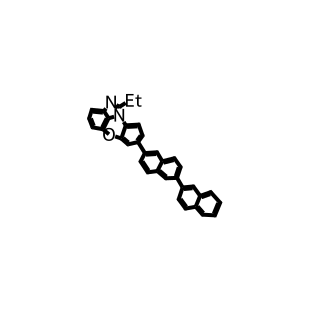 CCc1nc2cccc3c2n1-c1ccc(-c2ccc4cc(-c5ccc6ccccc6c5)ccc4c2)cc1O3